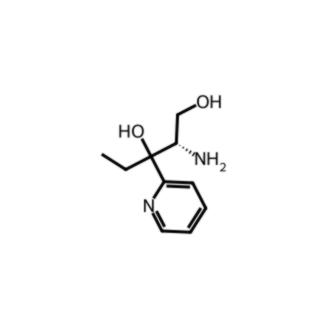 CCC(O)(c1ccccn1)[C@@H](N)CO